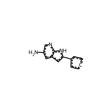 Nc1cnc2[nH]c(-c3ccccc3)cc2c1